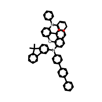 CC1(C)c2ccccc2-c2cc(N(c3ccc(-c4ccc(-c5ccccc5)cc4)cc3)c3ccc4cccc5c4c3Oc3cccc(N(C4=CCCC=C4)c4ccccc4)c3-5)ccc21